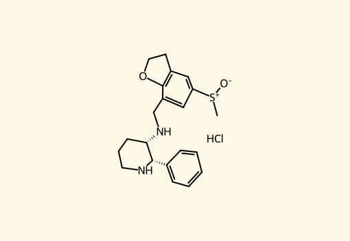 C[S+]([O-])c1cc2c(c(CN[C@H]3CCCN[C@H]3c3ccccc3)c1)OCC2.Cl